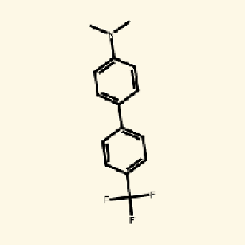 CN(C)c1ccc(-c2ccc(C(F)(F)F)cc2)cc1